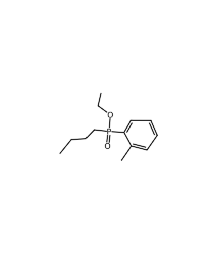 CCCCP(=O)(OCC)c1ccccc1C